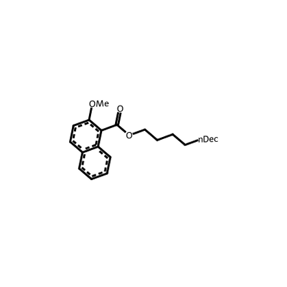 CCCCCCCCCCCCCCOC(=O)c1c(OC)ccc2ccccc12